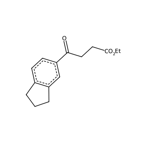 CCOC(=O)CCC(=O)c1ccc2c(c1)CCC2